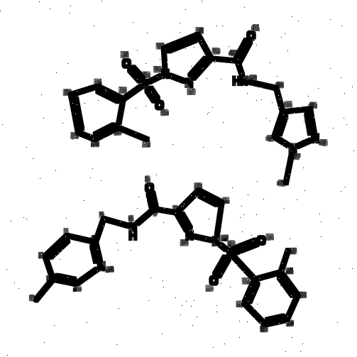 Cc1ccc(CNC(=O)c2ccn(S(=O)(=O)c3ccccc3C)n2)nc1.Cc1ccccc1S(=O)(=O)n1ccc(C(=O)NCc2cnn(C)c2)n1